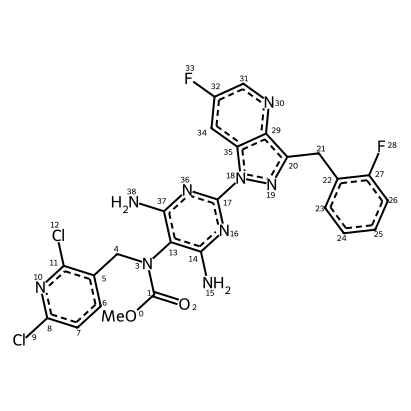 COC(=O)N(Cc1ccc(Cl)nc1Cl)c1c(N)nc(-n2nc(Cc3ccccc3F)c3ncc(F)cc32)nc1N